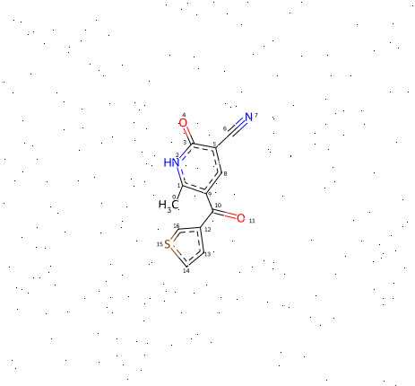 Cc1[nH]c(=O)c(C#N)cc1C(=O)c1ccsc1